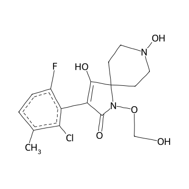 Cc1ccc(F)c(C2=C(O)C3(CCN(O)CC3)N(OCO)C2=O)c1Cl